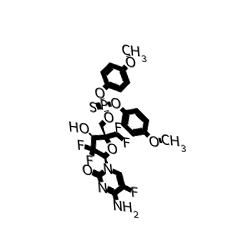 COc1ccc(OP(=S)(OC[C@@]2(C(F)F)O[C@@H](n3cc(F)c(N)nc3=O)C(F)(F)[C@@H]2O)Oc2ccc(OC)cc2)cc1